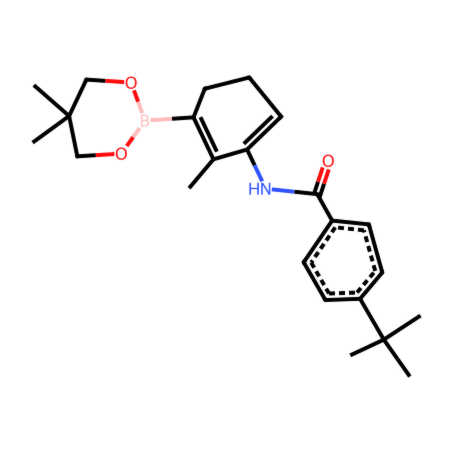 CC1=C(B2OCC(C)(C)CO2)CCC=C1NC(=O)c1ccc(C(C)(C)C)cc1